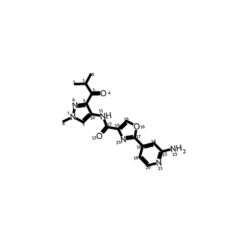 CC(C)C(=O)c1nn(C)cc1NC(=O)c1coc(-c2ccnc(N)c2)n1